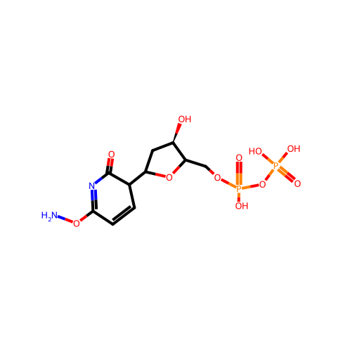 NOC1=NC(=O)C(C2C[C@@H](O)C(COP(=O)(O)OP(=O)(O)O)O2)C=C1